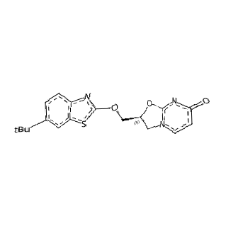 CC(C)(C)c1ccc2nc(OC[C@@H]3Cn4ccc(=O)nc4O3)sc2c1